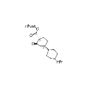 CCCCCOC(=O)[C@@H]1CC[C@@H](C2CCC(CCC)CC2)CC1=O